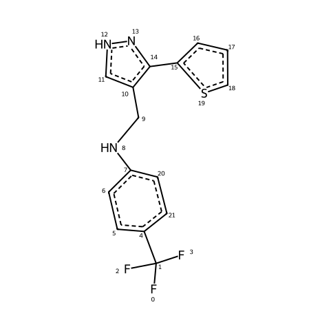 FC(F)(F)c1ccc(NCc2c[nH]nc2-c2cccs2)cc1